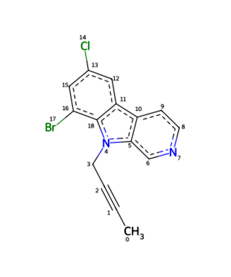 CC#CCn1c2cnccc2c2cc(Cl)cc(Br)c21